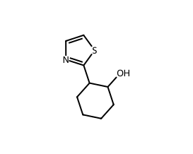 OC1CCCCC1c1nccs1